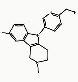 Cc1ccc2c(c1)c1c(n2-c2ccc(CF)nc2)CCN(C)C1